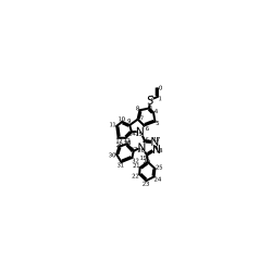 C=CSc1ccc2c(c1)c1ccccc1n2-c1nnc(-c2ccccc2)n1-c1ccccc1